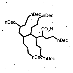 CCCCCCCCCCCCCC(CC(CCCCCCCCCC)CCCCCCCCCCCC)C(CCCCCCCCCCCCC)C(CCCCCCCCCCCCC)C(CCCCCCCCCCCC)C(=O)O